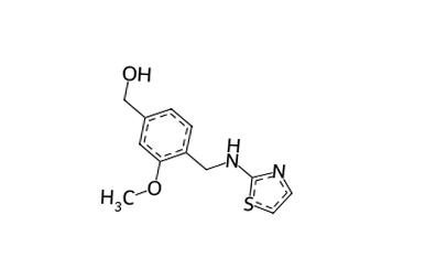 COc1cc(CO)ccc1CNc1nccs1